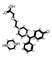 C1CNCCN1.O=C(O)COCCN1CCN(C(c2ccccc2)c2ccc(Cl)cc2)CC1